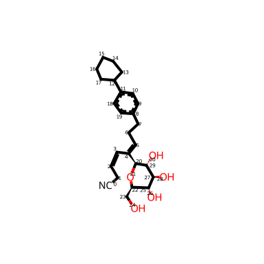 N#CC/C=C\C(=C/CCc1ccc(C2CCCCC2)cc1)[C@@H]1O[C@H](CO)[C@@H](O)[C@H](O)[C@H]1O